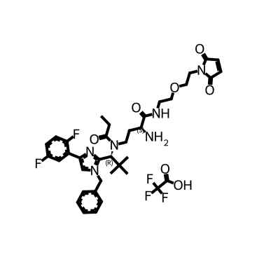 CCC(=O)N(CC[C@H](N)C(=O)NCCOCCN1C(=O)C=CC1=O)[C@@H](c1nc(-c2cc(F)ccc2F)cn1Cc1ccccc1)C(C)(C)C.O=C(O)C(F)(F)F